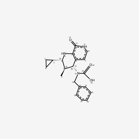 C[C@H]1[C@H](C2CC2)Nc2c(cc[nH]c2=O)[C@@H]1N(Cc1ccccc1)C(=O)O